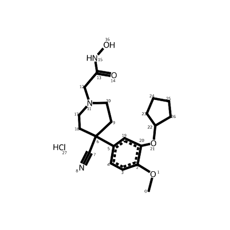 COc1ccc(C2(C#N)CCN(CC(=O)NO)CC2)cc1OC1CCCC1.Cl